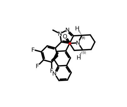 Cn1nc2c(c1-c1cc(F)c(F)c(F)c1)C[C@@H]1CCC[C@H]2N1C(=O)c1ccc2ncccc2c1